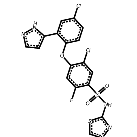 O=S(=O)(Nc1nncs1)c1cc(Cl)c(Oc2ccc(Cl)cc2-c2ccn[nH]2)cc1F